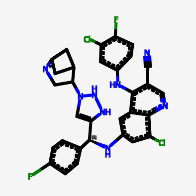 N#Cc1cnc2c(Cl)cc(N[C@H](C3=CN(C4CN=C5CC4C5)NN3)c3ccc(F)cc3)cc2c1Nc1ccc(F)c(Cl)c1